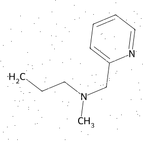 [CH2]CCN(C)Cc1ccccn1